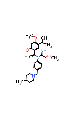 C=C(c1cc(C(C)C)c(OC)cc1O)N(C(=N)COC)c1ccc(CN2CCC(C)CC2)cc1